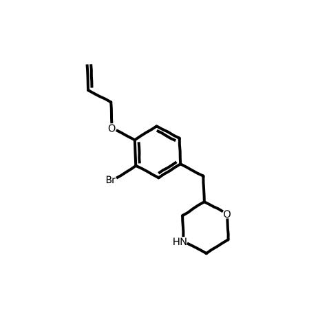 C=CCOc1ccc(CC2CNCCO2)cc1Br